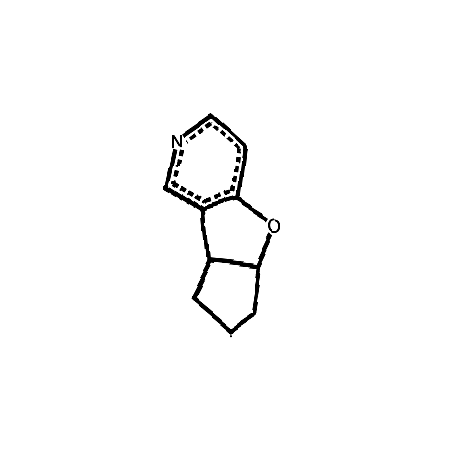 [CH]1CC2Oc3ccncc3C2C1